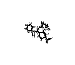 C=C(C)c1ccc2c(Nc3ccccc3)nc3nnc(C)n3c2c1